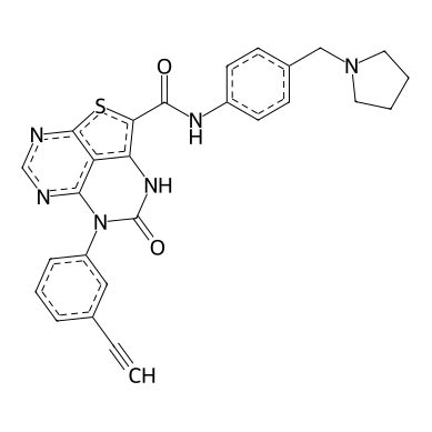 C#Cc1cccc(N2C(=O)Nc3c(C(=O)Nc4ccc(CN5CCCC5)cc4)sc4ncnc2c34)c1